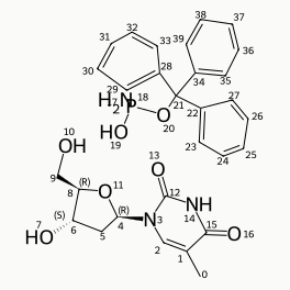 Cc1cn([C@H]2C[C@H](O)[C@@H](CO)O2)c(=O)[nH]c1=O.NP(O)OC(c1ccccc1)(c1ccccc1)c1ccccc1